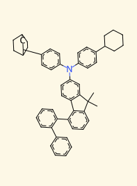 CC1(C)c2cc(N(c3ccc(C4CCCCC4)cc3)c3ccc(C4CC5CCC4CC5)cc3)ccc2-c2c(-c3ccccc3-c3ccccc3)cccc21